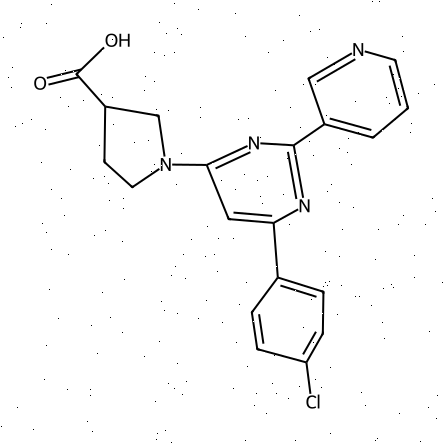 O=C(O)C1CCN(c2cc(-c3ccc(Cl)cc3)nc(-c3cccnc3)n2)C1